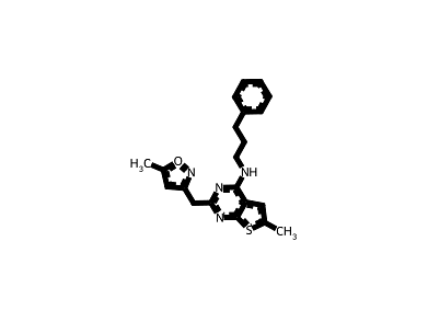 Cc1cc(Cc2nc(NCCCc3ccccc3)c3cc(C)sc3n2)no1